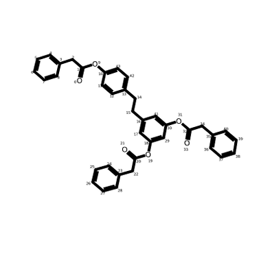 O=C(Cc1ccccc1)Oc1ccc(CCc2cc(OC(=O)Cc3ccccc3)cc(OC(=O)Cc3ccccc3)c2)cc1